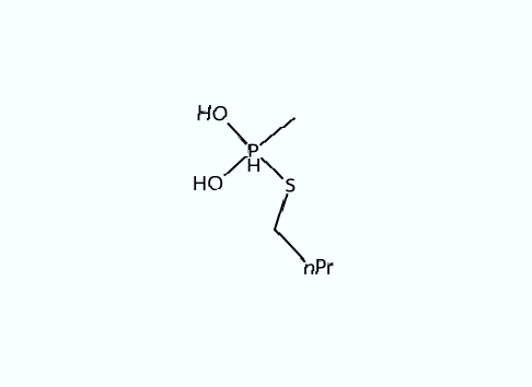 CCCCS[PH](C)(O)O